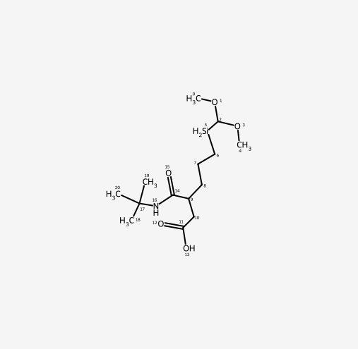 COC(OC)[SiH2]CCCC(CC(=O)O)C(=O)NC(C)(C)C